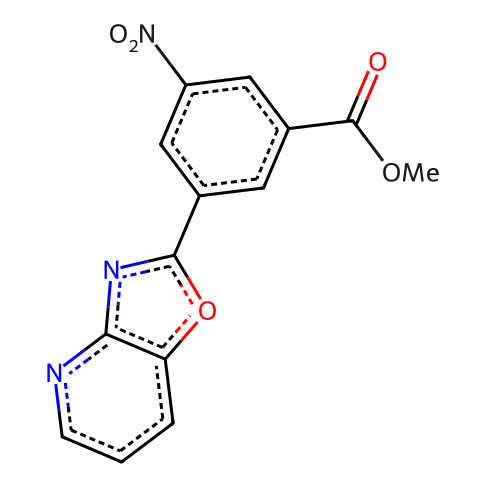 COC(=O)c1cc(-c2nc3ncccc3o2)cc([N+](=O)[O-])c1